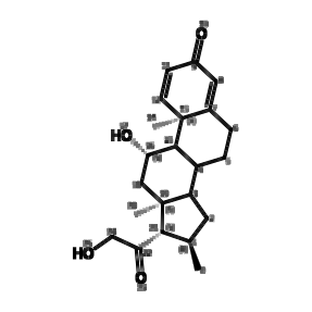 C[C@@H]1CC2C3CCC4=CC(=O)C=C[C@]4(C)C3[C@@H](O)C[C@]2(C)[C@H]1C(=O)CO